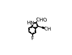 C#Cc1c(C=O)[nH]c2ccc(F)cc12